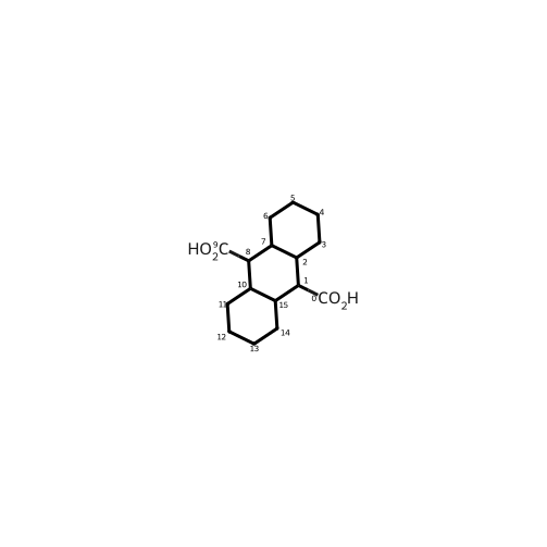 O=C(O)C1C2CCCCC2C(C(=O)O)C2CCCCC21